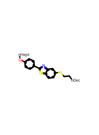 CCCCCCCCCCCCSc1ccc2sc(-c3ccc(OCCCCCCC)cc3)nc2c1